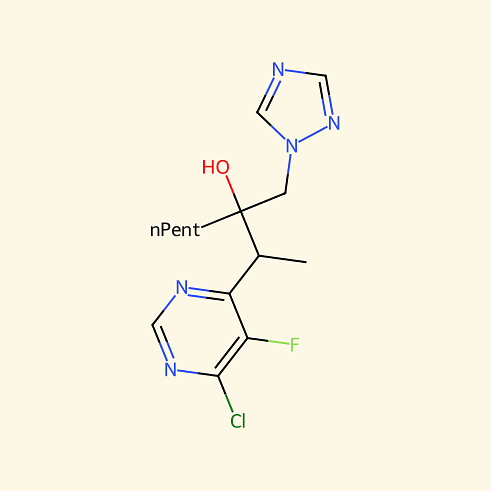 CCCCCC(O)(Cn1cncn1)C(C)c1ncnc(Cl)c1F